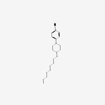 CCCCCCCCCC1CCC(c2ccc(C#N)cc2)CC1